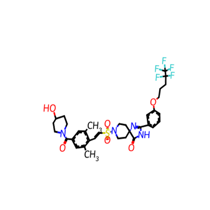 Cc1cc(C(=O)N2CCC(O)CC2)cc(C)c1C=CS(=O)(=O)N1CCC2(CC1)N=C(c1cccc(OCCCC(F)(F)C(F)(F)F)c1)NC2=O